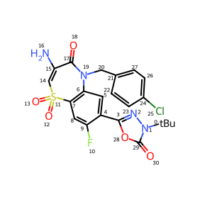 CC(C)(C)n1nc(-c2cc3c(cc2F)S(=O)(=O)C=C(N)C(=O)N3Cc2ccc(Cl)cc2)oc1=O